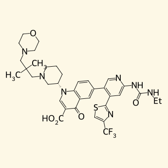 CCNC(=O)Nc1cc(-c2nc(C(F)(F)F)cs2)c(-c2ccc3c(c2)c(=O)c(C(=O)O)cn3[C@H]2CCCN(CC(C)(C)CN3CCOCC3)C2)cn1